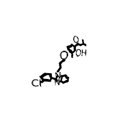 Cc1c(OCCCCN2C(c3cccc(Cl)c3)=NC3C=CC=CC32)ccc(C(=O)CC(C)C)c1O